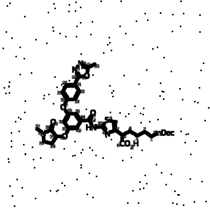 CCCCCCCCCCCCCCC(C(=O)O)c1csc(NC(=O)c2cc(Oc3ccc(-c4nnc(C)o4)cc3)cc(OC3CCN(C)C3=O)c2)n1